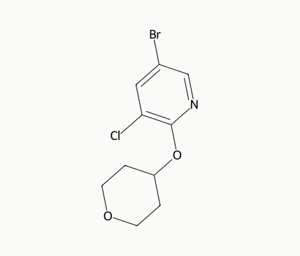 Clc1cc(Br)cnc1OC1CCOCC1